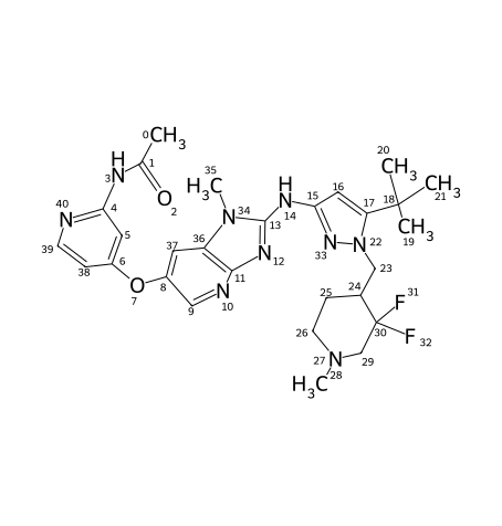 CC(=O)Nc1cc(Oc2cnc3nc(Nc4cc(C(C)(C)C)n(CC5CCN(C)CC5(F)F)n4)n(C)c3c2)ccn1